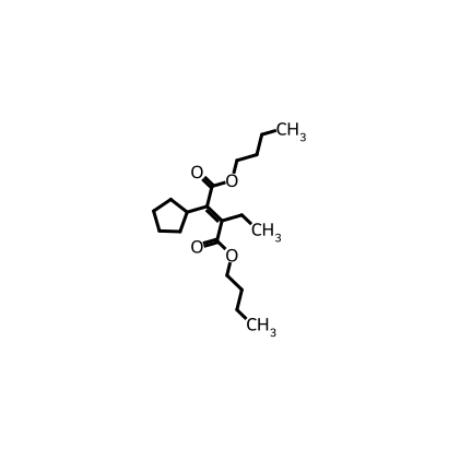 CCCCOC(=O)C(CC)=C(C(=O)OCCCC)C1CCCC1